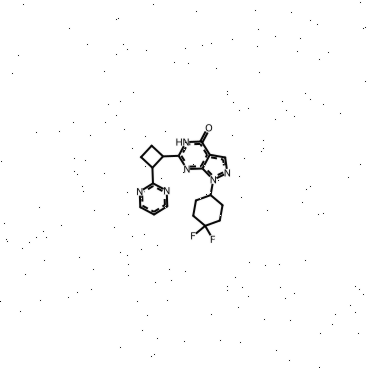 O=c1[nH]c(C2CCC2c2ncccn2)nc2c1cnn2C1CCC(F)(F)CC1